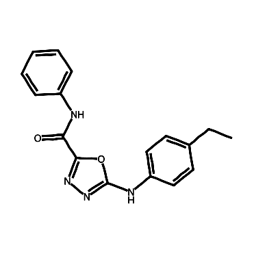 CCc1ccc(Nc2nnc(C(=O)Nc3ccccc3)o2)cc1